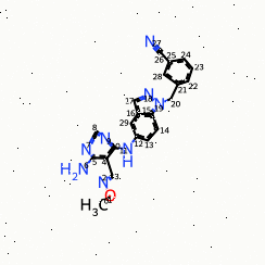 CON=Cc1c(N)ncnc1Nc1ccc2c(cnn2Cc2cccc(C#N)c2)c1